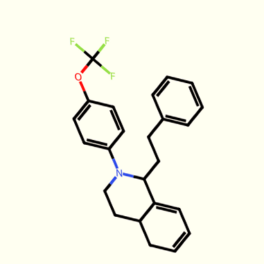 FC(F)(F)Oc1ccc(N2CCC3CC=CC=C3C2CCc2ccccc2)cc1